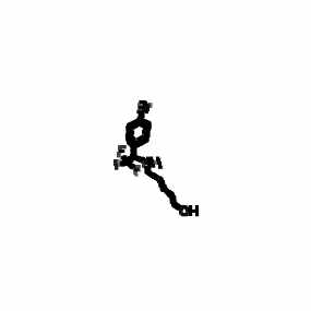 OCCCCCNC(c1ccc(Br)cc1)C(F)(F)F